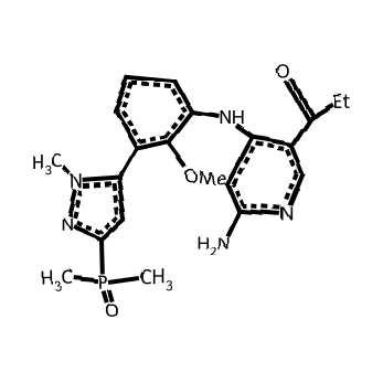 CCC(=O)c1cnc(N)cc1Nc1cccc(-c2cc(P(C)(C)=O)nn2C)c1OC